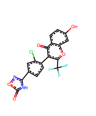 O=c1[nH]c(-c2ccc(-c3c(C(F)(F)F)oc4cc(O)ccc4c3=O)c(Cl)c2)no1